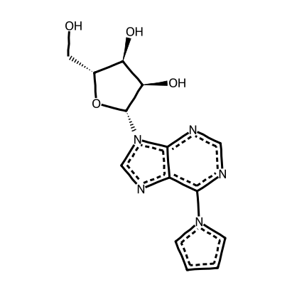 OC[C@H]1O[C@@H](n2cnc3c(-n4cccc4)ncnc32)[C@H](O)[C@@H]1O